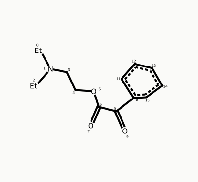 CCN(CC)CCOC(=O)C(=O)c1ccccc1